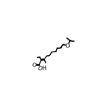 CCC(C(=O)O)=C(C)CCCCCCCOC(C)C